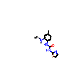 CCCN(C)c1cc(C)ccc1NC(=O)Nc1nccs1